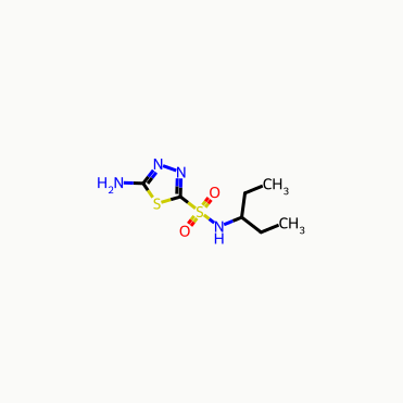 CCC(CC)NS(=O)(=O)c1nnc(N)s1